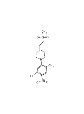 Cc1cc([N+](=O)[O-])c(O)cc1N1CCC(CCS(C)(=O)=O)CC1